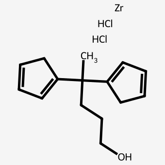 CC(CCCO)(C1=CC=CC1)C1=CC=CC1.Cl.Cl.[Zr]